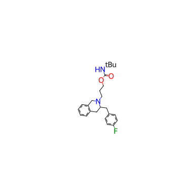 CC(C)(C)NC(=O)OCCCN1Cc2ccccc2CC1Cc1ccc(F)cc1